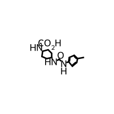 Cc1ccc(NC(=O)NC2CCC(NC(=O)O)CC2)cc1